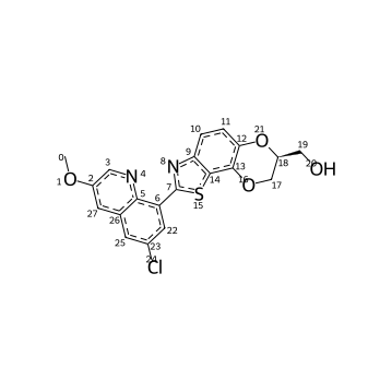 COc1cnc2c(-c3nc4ccc5c(c4s3)OC[C@H](CO)O5)cc(Cl)cc2c1